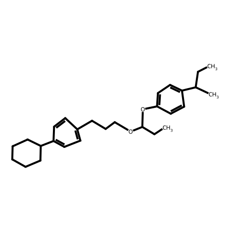 CCC(OCCCc1ccc(C2CCCCC2)cc1)Oc1ccc(C(C)CC)cc1